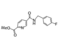 COC(=O)c1ccc(C(=O)NCc2ccc(F)cc2)cn1